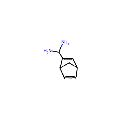 NC(N)C1=CC2C=CC1C2